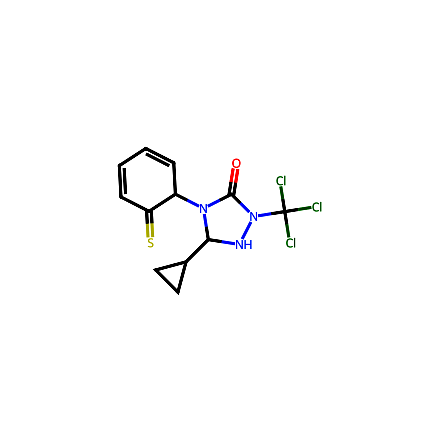 O=C1N(C2C=CC=CC2=S)C(C2CC2)NN1C(Cl)(Cl)Cl